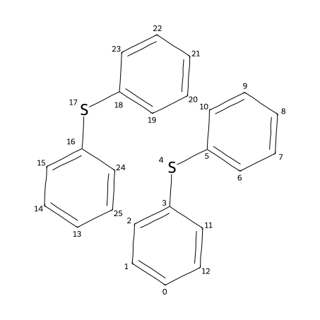 c1ccc(Sc2ccccc2)cc1.c1ccc(Sc2ccccc2)cc1